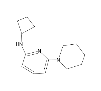 c1cc(NC2CCC2)nc(N2CCCCC2)c1